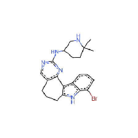 CC1(C)CCC(Nc2ncc3c(n2)-c2c([nH]c4c(Br)cccc24)CCC3)CN1